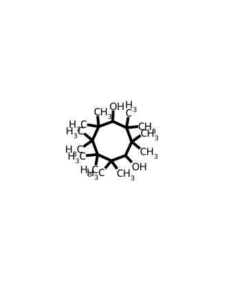 CC1(C)C(O)C(C)(C)C(C)(C)C(C)(C)C(C)(C)C(O)C1(C)C